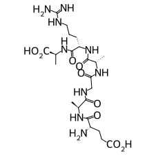 C[C@H](NC(=O)[C@H](CCCNC(=N)N)NC(=O)[C@H](C)NC(=O)CNC(=O)[C@H](C)NC(=O)[C@@H](N)CCC(=O)O)C(=O)O